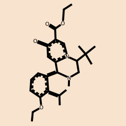 CCOC(=O)c1cn2c(cc1=O)/C(=c1\cccc(OCC)c1=C(C)C)N(C)CC2C(C)(C)C